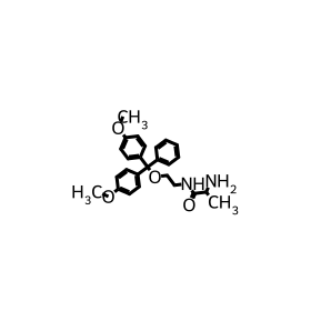 COc1ccc(C(OCCNC(=O)C(C)N)(c2ccccc2)c2ccc(OC)cc2)cc1